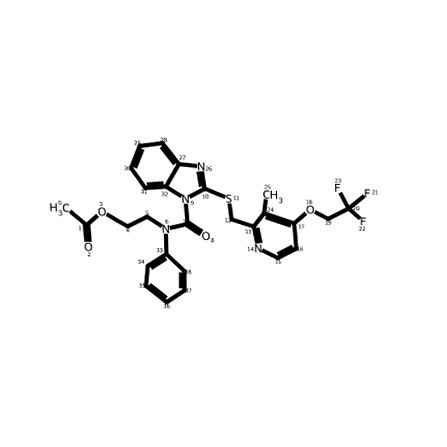 CC(=O)OCCN(C(=O)n1c(SCc2nccc(OCC(F)(F)F)c2C)nc2ccccc21)c1ccccc1